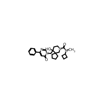 CN(C(=O)N1CCC(O)(Cn2cnc(-c3ccccc3)cc2=O)C2(CCCC2)C1)C1CCC1